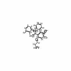 Cc1cccc(NC(=O)c2c(OCCC(C)C)cc(C)[n+]([O-])c2-c2ccccc2)c1C